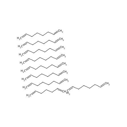 C=CCCCC=C.C=CCCCCC=C.C=CCCCCC=C.C=CCCCCC=C.C=CCCCCC=C.C=CCCCCC=C.C=CCCCCC=C.C=CCCCCC=C.C=CCCCCC=C